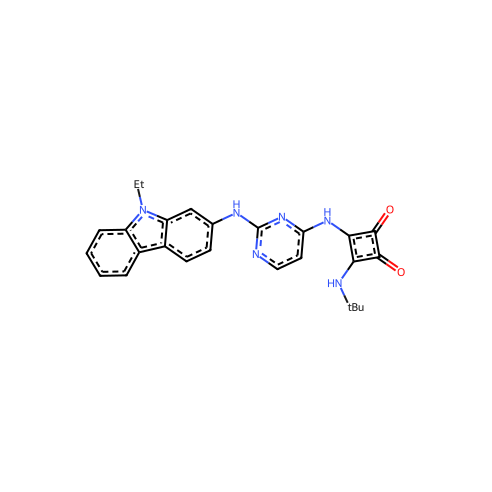 CCn1c2ccccc2c2ccc(Nc3nccc(Nc4c(NC(C)(C)C)c(=O)c4=O)n3)cc21